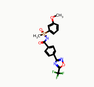 COc1cccc(S(C)(=O)=NC(=O)c2ccc(-c3noc(C(F)(F)F)n3)cc2)c1